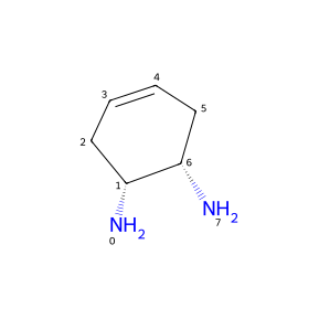 N[C@@H]1CC=CC[C@@H]1N